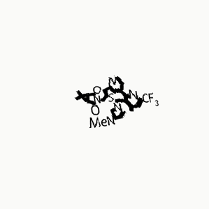 CNC1CCN(Cc2c(C)cc(C(F)(F)F)nc2-c2ccnc3cc(CN4C(=O)C5C(C4=O)C5(C)C)sc23)C1